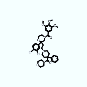 COc1cc(C(=O)N2CCOC(CCN3CCC(C(=O)N4CCOCC4)(c4ccccc4)CC3)(c3ccc(Cl)c(Cl)c3)C2)cc(OC)c1OC